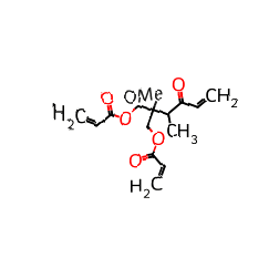 C=CC(=O)OCC(COC(=O)C=C)(OC)C(C)C(=O)C=C